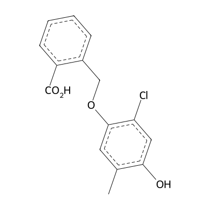 Cc1cc(OCc2ccccc2C(=O)O)c(Cl)cc1O